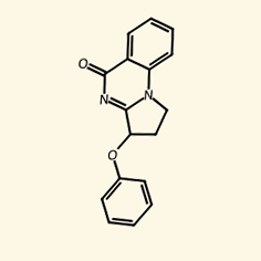 O=c1nc2n(c3ccccc13)CCC2Oc1ccccc1